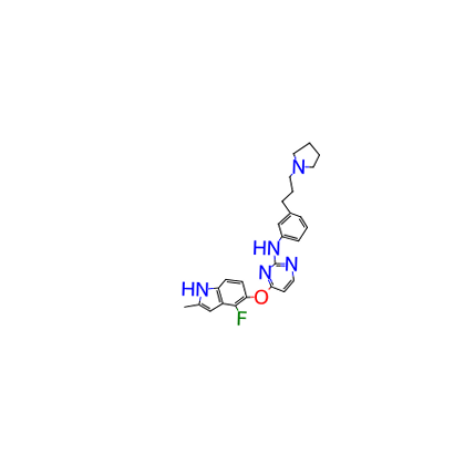 Cc1cc2c(F)c(Oc3ccnc(Nc4cccc(CCCN5CCCC5)c4)n3)ccc2[nH]1